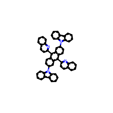 c1ccc2nc(-c3c4ccc(-n5c6ccccc6c6ccccc65)cc4c(-c4ccc5ccccc5n4)c4ccc(-n5c6ccccc6c6ccccc65)cc34)ccc2c1